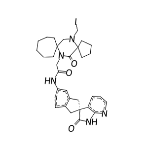 O=C(CN1C(=O)C2(CCCC2)N(CI)CC12CCCCCC2)Nc1ccc2c(c1)C[C@@]1(C2)C(=O)Nc2ncccc21